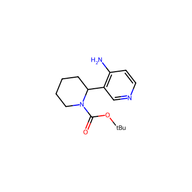 CC(C)(C)OC(=O)N1CCCCC1c1cnccc1N